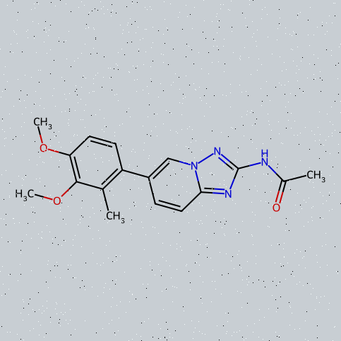 COc1ccc(-c2ccc3nc(NC(C)=O)nn3c2)c(C)c1OC